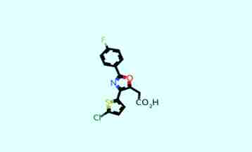 O=C(O)Cc1oc(-c2ccc(F)cc2)nc1-c1ccc(Cl)s1